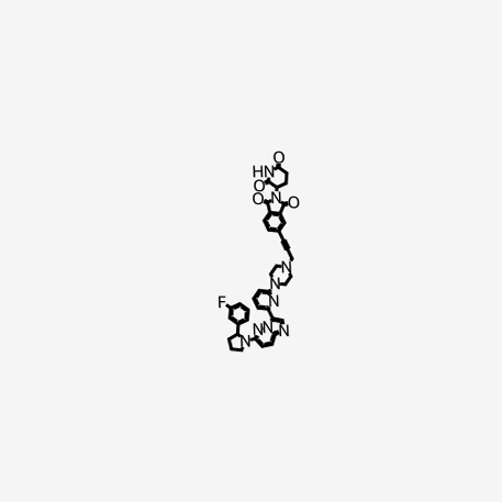 O=C1CCC(N2C(=O)c3ccc(C#CCN4CCN(c5cccc(-c6cnc7ccc(N8CCCC8c8cccc(F)c8)nn67)n5)CC4)cc3C2=O)C(=O)N1